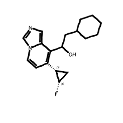 OC(CC1CCCCC1)c1c([C@@H]2C[C@@H]2F)ccn2cncc12